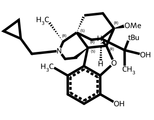 CO[C@]12CC[C@@]3(C[C@@H]1C(C)(O)C(C)(C)C)[C@@H](C)N(CC1CC1)CC[C@@]31c3c(C)ccc(O)c3O[C@@H]21